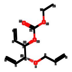 C=CCO[C@H](C=C)[C@@H](C=C)OC(=O)OCC